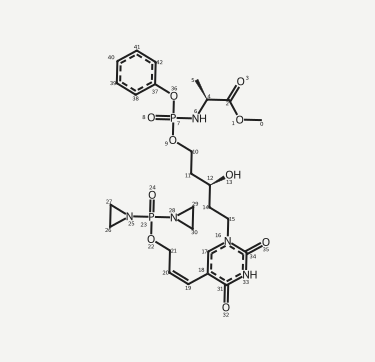 COC(=O)[C@H](C)NP(=O)(OCC[C@@H](O)CCn1cc(/C=C\COP(=O)(N2CC2)N2CC2)c(=O)[nH]c1=O)Oc1ccccc1